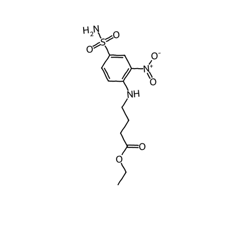 CCOC(=O)CCCNc1ccc(S(N)(=O)=O)cc1[N+](=O)[O-]